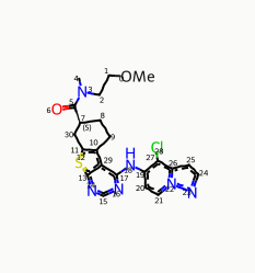 COCCN(C)C(=O)[C@H]1CCc2c(sc3ncnc(Nc4ccn5nccc5c4Cl)c23)C1